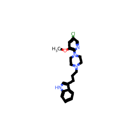 COc1cc(Cl)cnc1N1CCN(CCCc2c[nH]c3ccccc23)CC1